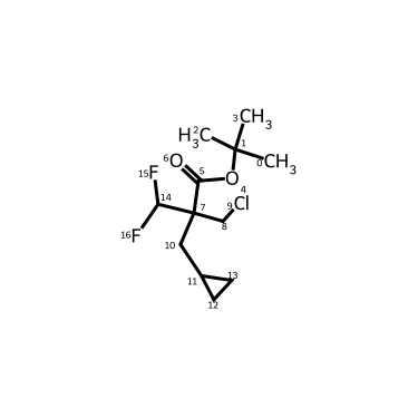 CC(C)(C)OC(=O)C(CCl)(CC1CC1)C(F)F